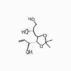 C=CC(O)[C@H]1OC(C)(C)OC1[C@H](O)CO